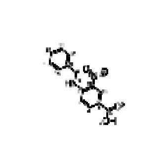 O=C(O)c1ccc(NCc2ccccc2)c([N+](=O)[O-])c1